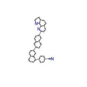 N#Cc1ccc(-c2cccc3ccc(-c4ccc5cc(-c6ccc7ccc8cccnc8c7n6)ccc5c4)cc23)cc1